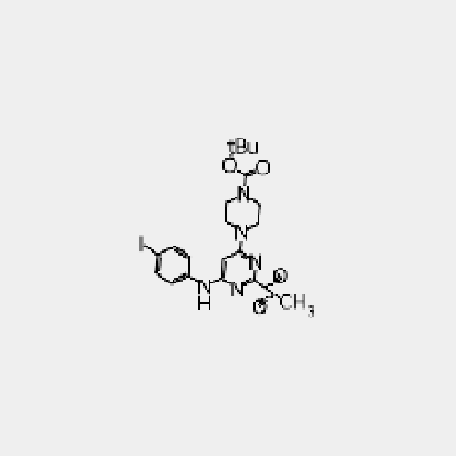 CC(C)(C)OC(=O)N1CCN(c2cc(Nc3ccc(I)cc3)nc(S(C)(=O)=O)n2)CC1